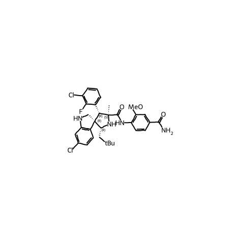 COc1cc(C(N)=O)ccc1NC(=O)[C@@]1(C)N[C@H](CC(C)(C)C)[C@]2(CNc3cc(Cl)ccc32)[C@@H]1c1cccc(Cl)c1F